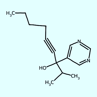 CCCCC#CC(O)(c1cncnc1)C(C)C